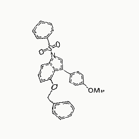 COc1ccc(-c2cn(S(=O)(=O)c3ccccc3)c3cccc(OCc4ccccc4)c23)cc1